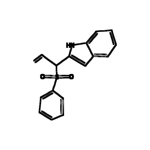 C=CC(c1cc2ccccc2[nH]1)S(=O)(=O)c1ccccc1